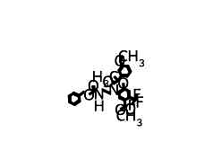 COC(=O)c1cc2c(cc1C(F)(F)F)OC(C)(c1cccc(OC)c1)C(=O)N2CCNC(=O)OCc1ccccc1